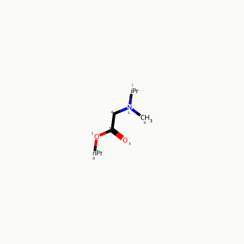 CCCOC(=O)CN(C)C(C)C